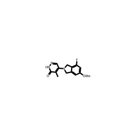 COc1cc(F)c2c(c1)CN(c1cn[nH]c(=O)c1C)C2